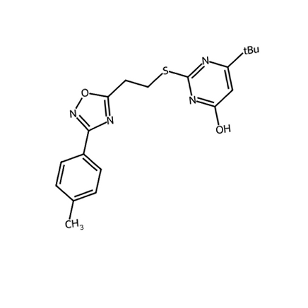 Cc1ccc(-c2noc(CCSc3nc(O)cc(C(C)(C)C)n3)n2)cc1